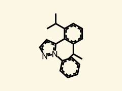 CC(C)c1cccc(C(C)C)c1-c1ccnn1-c1ccccc1